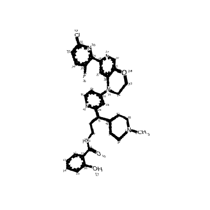 CN1CCC(C(CCNC(=O)c2ccccc2O)c2cc(N3CCOc4cnc(-c5nc(Cl)ccc5F)cc43)ccn2)CC1